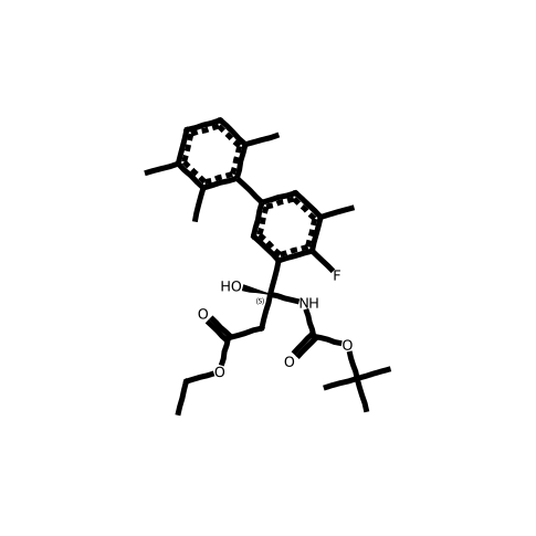 CCOC(=O)C[C@@](O)(NC(=O)OC(C)(C)C)c1cc(-c2c(C)ccc(C)c2C)cc(C)c1F